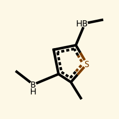 CBc1cc(BC)c(C)s1